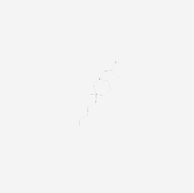 CCC(C)C(O)OC1(C)CCCC(O)(CCCCO)C1